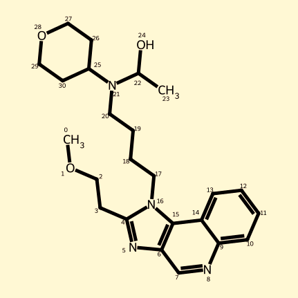 COCCc1nc2cnc3ccccc3c2n1CCCCN(C(C)O)C1CCOCC1